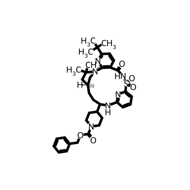 CC(C)(C)c1ccc2c(n1)N1C[C@@H](CCC(C3CCN(C(=O)OCc4ccccc4)CC3)Nc3cccc(n3)S(=O)(=O)NC2=O)CC1(C)C